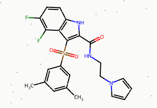 Cc1cc(C)cc(S(=O)(=O)c2c(C(=O)NCCn3cccc3)[nH]c3ccc(F)c(F)c23)c1